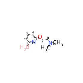 Bc1cccc(OCCN(C)C)n1